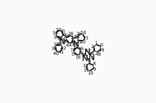 c1ccc(-c2nc(-c3ccccc3)nc(-c3cccc(-n4c5ccccc5c5cc6c7ccccc7n(-c7ccccc7)c6cc54)c3)n2)cc1